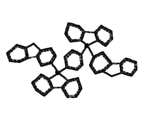 c1ccc2c(c1)Cc1ccc([Si]3(c4ccc([Si]5(c6ccc7c(c6)-c6ccccc6C7)c6ccccc6-c6ccccc65)cc4)c4ccccc4-c4ccccc43)cc1-2